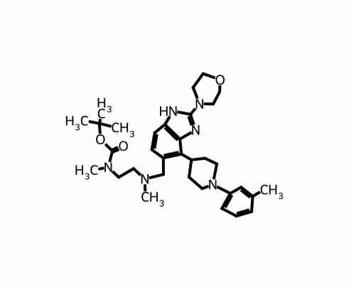 Cc1cccc(N2CCC(c3c(CN(C)CCN(C)C(=O)OC(C)(C)C)ccc4[nH]c(N5CCOCC5)nc34)CC2)c1